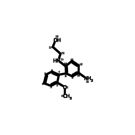 COc1ccccc1-c1cc(N)ccc1NCCO